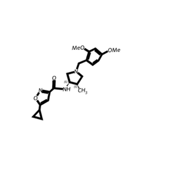 COc1ccc(CN2C[C@H](C)[C@H](NC(=O)c3cc(C4CC4)on3)C2)c(OC)c1